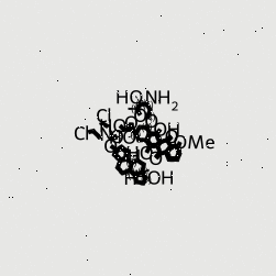 COc1cccc2c1C(=O)c1c(O)c3c(c(O)c1C2=O)C[C@@](O)(C(=O)CO)C[C@@H]3O[C@H]1C[C@H](N)[C@@H](O)[C@H](C)O1.C[C@]12CC[C@@H]3c4ccc(OC(=O)N(CCCl)CCCl)cc4CC[C@H]3[C@@H]1CC[C@@H]2O